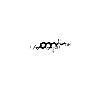 COc1ccc(C=C(CC(O)NCCO)C(=O)O)cc1